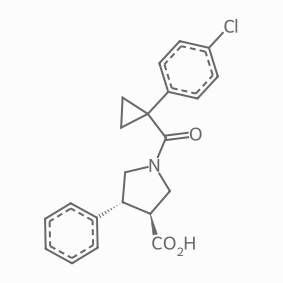 O=C(O)[C@@H]1CN(C(=O)C2(c3ccc(Cl)cc3)CC2)C[C@H]1c1ccccc1